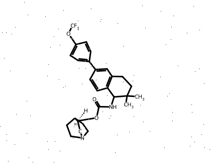 CC1(C)CCc2cc(-c3ccc(OC(F)(F)F)cc3)ccc2C1NC(=O)O[C@H]1CN2CCC1CC2